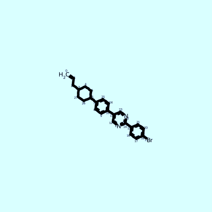 C=CCC1CCC(c2ccc(-c3cnc(-c4ccc(Br)cc4)nc3)cc2)CC1